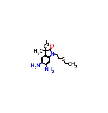 CCSCCN1C(=O)C(C)(C)c2cc(N)c(N)cc21